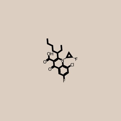 CCCCC(CC)c1c(C(=O)O)c(=O)c2cc(F)cc(Cl)c2n1[C@@H]1C[C@@H]1F